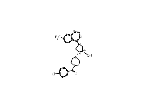 O=C(c1ccc(Cl)cc1)N1CCN([C@@H]2CN(c3ncnc4cc(C(F)(F)F)ccc34)C[C@H]2O)CC1